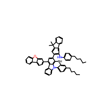 CCCCCc1ccc(Nc2cc3c(cc2-c2cc(-c4ccc5c(c4)oc4ccccc45)c4c5ccccc5n5c4c2Bc2cc(CCCCC)ccc2-5)C(C)(C)c2ccccc2-3)cc1